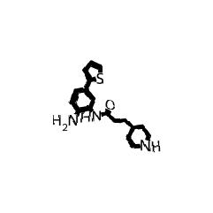 Nc1ccc(-c2cccs2)cc1NC(=O)CCC1CCNCC1